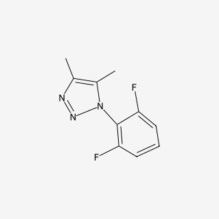 Cc1nnn(-c2c(F)cccc2F)c1C